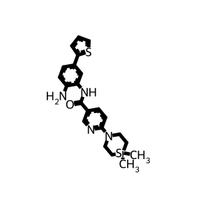 C[Si]1(C)CCN(c2ccc(C(=O)Nc3cc(-c4cccs4)ccc3N)cn2)CC1